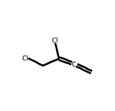 C=C=C(Cl)CCl